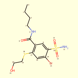 CCCCNC(=O)c1cc(S(N)(=O)=O)c(Br)cc1SCCO